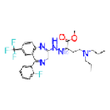 CCCN(CCC)CC/C(=N/NC1=Nc2ccc(C(F)(F)F)cc2C(c2ccccc2F)=NC1)C(=O)OC